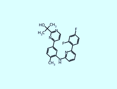 Cc1ccc(-c2ccnc(C(C)(C)O)n2)cc1Nc1cccc(-c2ccc(F)cc2F)n1